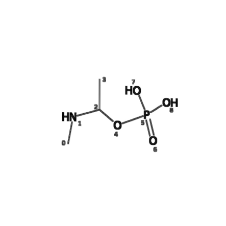 CNC(C)OP(=O)(O)O